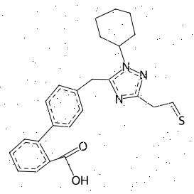 O=C(O)c1ccccc1-c1ccc(Cc2nc(CC=S)nn2C2CCCCC2)cc1